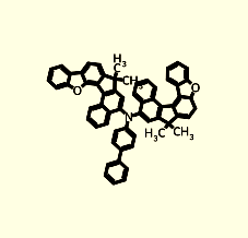 CC1(C)C2=CCC3Oc4ccccc4C3=C2c2c1cc(N(c1ccc(-c3ccccc3)cc1)c1cc3c(c4ccccc14)-c1c(ccc4c1oc1ccccc14)C3(C)C)c1ccccc21